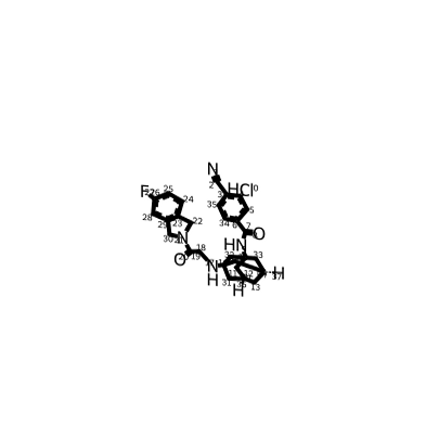 Cl.N#Cc1ccc(C(=O)NC23C[C@@H]4C[C@@H](CC(NCC(=O)N5Cc6ccc(F)cc6C5)(C4)C2)C3)cc1